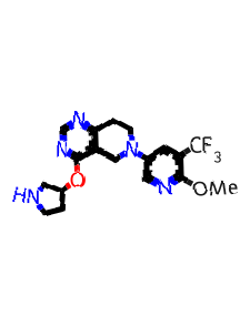 COc1ncc(N2CCc3ncnc(OC4CCNC4)c3C2)cc1C(F)(F)F